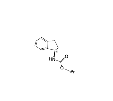 CC(C)OC(=O)N[C@@H]1CCc2ccccc21